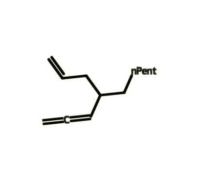 C=C=CC(CC=C)CCCCCC